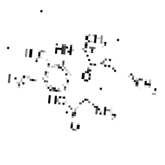 C=CCOC(=O)[C@H](C)Nc1cccc(C)c1C.NCC(=O)O